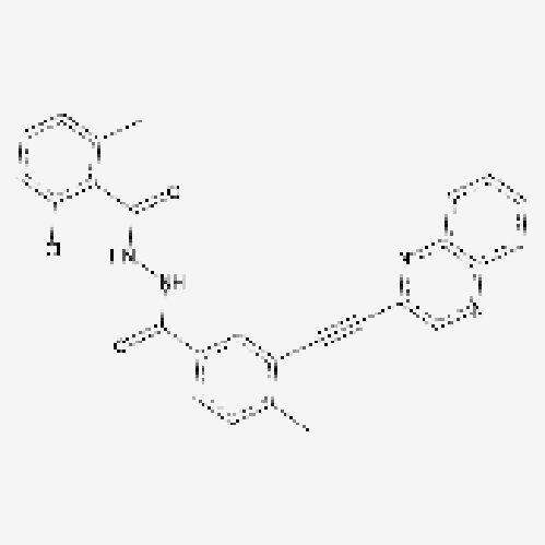 Cc1ccc(C(=O)NNC(=O)c2c(C)cccc2Cl)cc1C#Cc1cnc2ccccc2n1